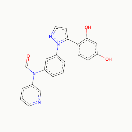 O=CN(c1cccnc1)c1cccc(-n2nccc2-c2ccc(O)cc2O)c1